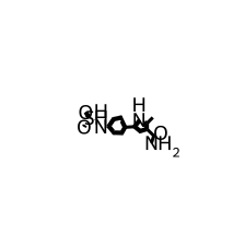 Cc1[nH]c(-c2ccc(NC[SH](=O)=O)cc2)cc1C(N)=O